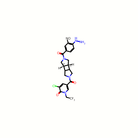 NNc1ccc(C(=O)N2C[C@@H]3C4CN(C(=O)c5cc(Cl)c(=O)n(CC(F)(F)F)c5)CC4[C@@H]3C2)cc1N=O